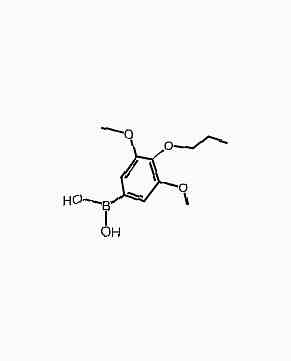 CCCOc1c(OC)cc(B(O)O)cc1OC